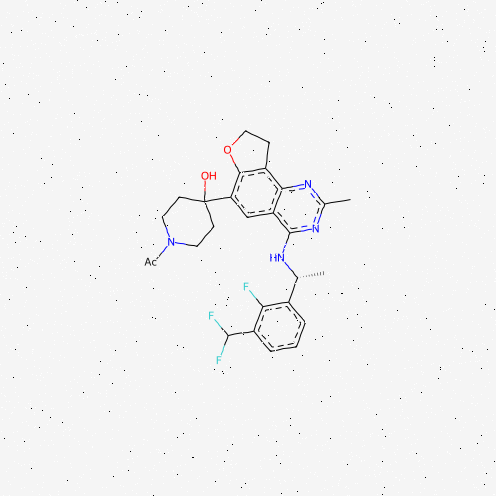 CC(=O)N1CCC(O)(c2cc3c(N[C@H](C)c4cccc(C(F)F)c4F)nc(C)nc3c3c2OCC3)CC1